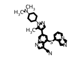 Cc1c(-c2cc(Sc3cccn4cncc34)c3c(C#N)cnn3c2)cnn1[C@H]1CC[C@@H](N(C)C)CC1